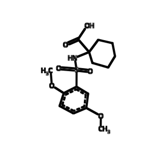 COc1ccc(OC)c(S(=O)(=O)NC2(C(=O)O)CCCCC2)c1